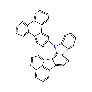 c1cc2c3c(cccc3c1)-c1c-2ccc2c3ccccc3n(-c3ccc4c5ccccc5c5ccccc5c4c3)c12